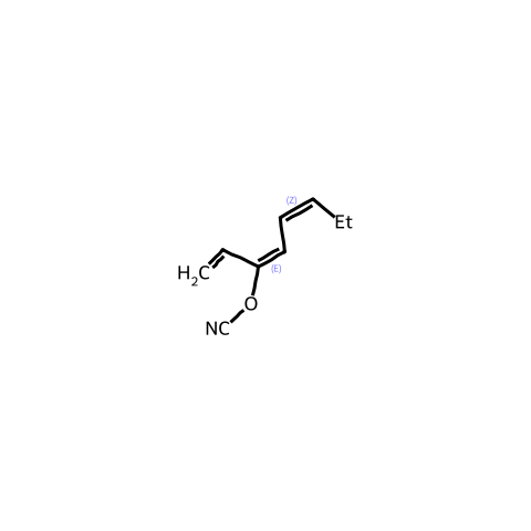 C=C/C(=C\C=C/CC)OC#N